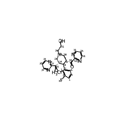 Cc1c(F)cccc1C1[C@@H](C(=O)c2ncccn2)CN(CCO)C[C@H]1C(=O)c1ncccn1